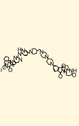 CN(C)C(=O)c1cc2cnc(Nc3ccc(N4CCC(CN5CCN(C6CCN(c7ccc8c(c7)C(=O)N(N7CCC(=O)NC7=O)C8=O)CC6)CC5)CC4)cn3)nc2n1C1CCCC1